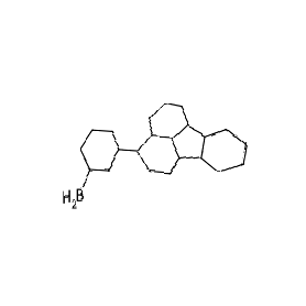 BC1CCCC(C2CCC3C4CCCCC4C4CCCC2C43)C1